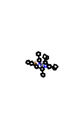 c1ccc(-c2ccc(N3B4c5c(cc(-c6ccccc6)cc5-n5c6ccc(C78CCCC(CCC7)C8)cc6c6cc(C78CCCC(CCC7)C8)cc4c65)-c4ccc5c(sc6cc7ccccc7cc65)c43)cc2)cc1